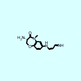 CN1C(=O)[C@@H](N)COc2ccc(N/C=C\C=N)cc21